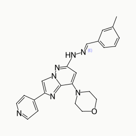 Cc1cccc(/C=N/Nc2cc(N3CCOCC3)c3nc(-c4ccncc4)cn3n2)c1